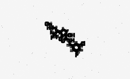 O=CNCC(N1CCC(O)(C(=O)NCc2cc(F)cc(Cl)c2)C1=O)C(F)(F)F